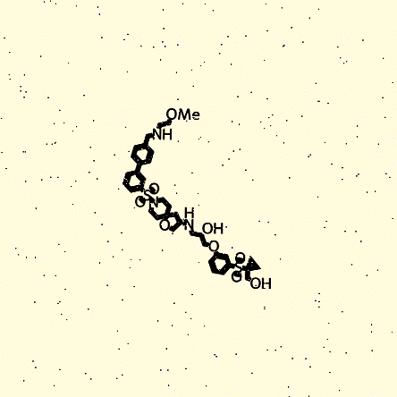 COCCNCc1ccc(-c2cccc(S(=O)(=O)N3CCC4(CC3)C[C@@H](NCC(O)COc3cccc(S(=O)(=O)C5(CO)CC5)c3)CO4)c2)cc1